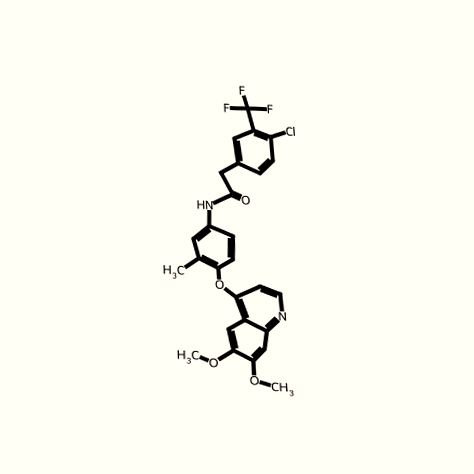 COc1cc2nccc(Oc3ccc(NC(=O)Cc4ccc(Cl)c(C(F)(F)F)c4)cc3C)c2cc1OC